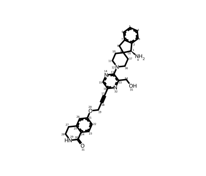 N[C@@H]1c2ccccc2CC12CCN(c1ncc(C#CCOc3ccc4c(c3)CCNC4=O)nc1CO)CC2